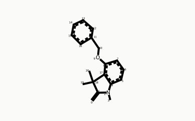 C=C1N(C)c2cccc(OCc3ccccc3)c2C1(C)C